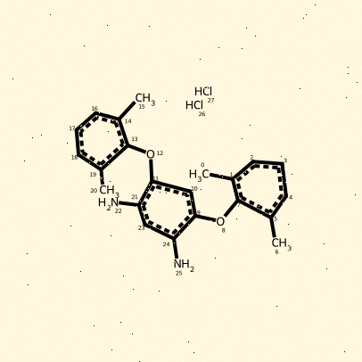 Cc1cccc(C)c1Oc1cc(Oc2c(C)cccc2C)c(N)cc1N.Cl.Cl